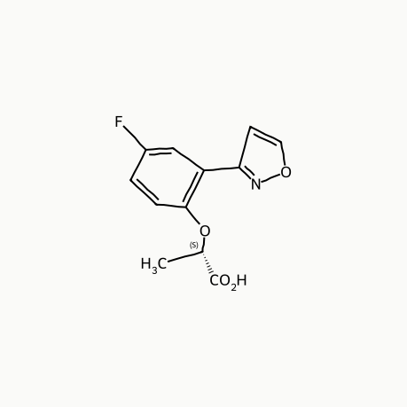 C[C@H](Oc1ccc(F)cc1-c1ccon1)C(=O)O